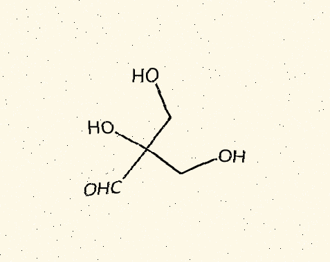 O=CC(O)(CO)CO